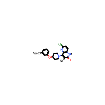 COc1cccc(OC2CCN(c3c(C#N)c(=O)n(C)c4ccc(Cl)nc34)CC2)c1